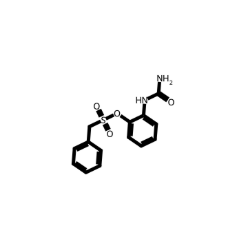 NC(=O)Nc1ccccc1OS(=O)(=O)Cc1ccccc1